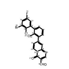 O=Cc1cnc2cc(-c3cccc(-c4cc(F)cc(Br)c4Cl)c3Cl)ccn2c1=O